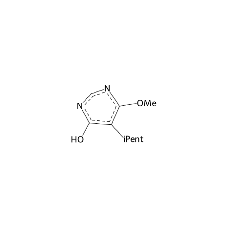 CCCC(C)c1c(O)ncnc1OC